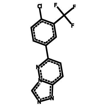 FC(F)(F)c1cc(-c2ccc3nncn3n2)ccc1Cl